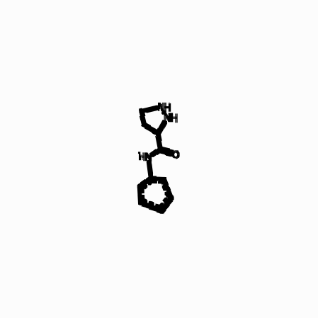 O=C(Nc1ccccc1)C1CCNN1